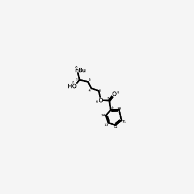 CCCCC(O)CCCOC(=O)c1ccccc1